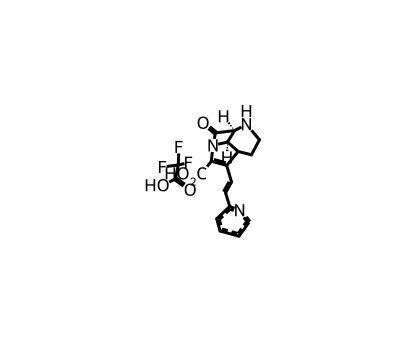 O=C(O)C(F)(F)F.O=C(O)C1=C(/C=C/c2ccccn2)C2CCN[C@@H]3C(=O)N1[C@H]23